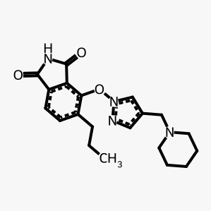 CCCc1ccc2c(c1On1cc(CN3CCCCC3)cn1)C(=O)NC2=O